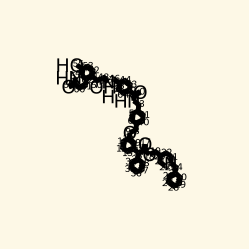 O=C(NCc1ccc(COc2cccc(C(C(=O)OCC3CCN(Cc4ccccc4)CC3)c3ccccc3)c2)cc1)c1ccc(CNC[C@H](O)c2ccc(O)c3[nH]c(=O)ccc23)cc1